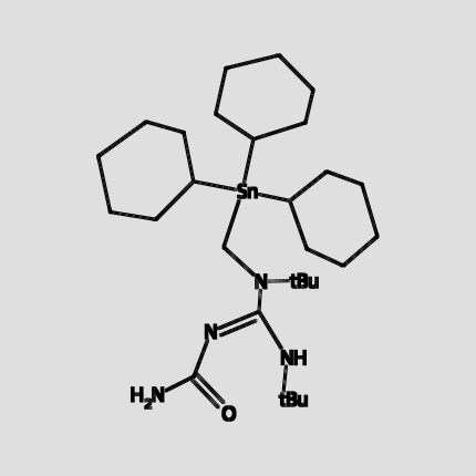 CC(C)(C)NC(=NC(N)=O)N([CH2][Sn]([CH]1CCCCC1)([CH]1CCCCC1)[CH]1CCCCC1)C(C)(C)C